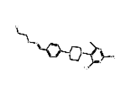 Cc1nc(N)nc(N)c1N1CCN(c2ccc(C=NOCCN)cc2)CC1